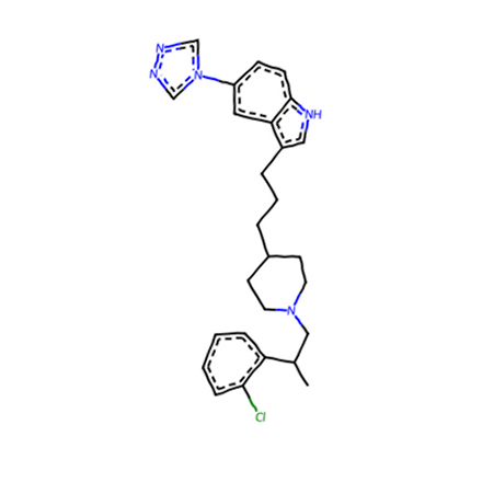 CC(CN1CCC(CCCc2c[nH]c3ccc(-n4cnnc4)cc23)CC1)c1ccccc1Cl